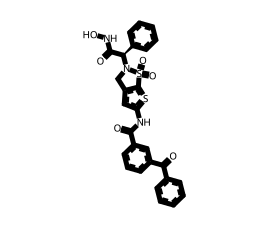 O=C(Nc1cc2c(s1)S(=O)(=O)N([C@@H](C(=O)NO)c1ccccc1)C2)c1cccc(C(=O)c2ccccc2)c1